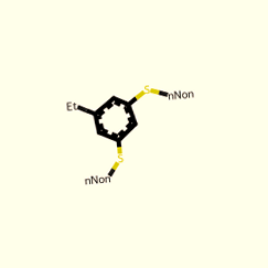 [CH2]Cc1cc(SCCCCCCCCC)cc(SCCCCCCCCC)c1